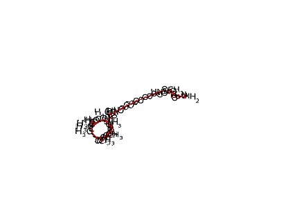 CO[C@H]1C[C@@H]2CC[C@@H](C)[C@@](O)(O2)C(=O)C(=O)N2CCCC[C@H]2C(=O)O[C@H]([C@H](C)C[C@@H]2CC[C@@H](OC(=S)NCCOCCOCCOCCOCCOCCOCCOCCOCCC(=O)NCCS(=O)(=O)c3ccc(C(=O)N4CCOc5ccc(-c6ccc(N)nc6)cc5C4)c(C)c3)[C@H](OC)C2)C[C@@H](O)[C@H](C)/C=C(\C)[C@@H](O)[C@@H](OC)C(=O)[C@H](C)C[C@H](C)/C=C/C=C/C=C/1C